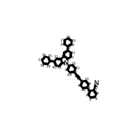 N#Cc1ccccc1-c1ccc(C#Cc2ccc(-n3c4ccc(-c5ccccc5)cc4c4cc(-c5ccccc5)ccc43)cc2)cc1